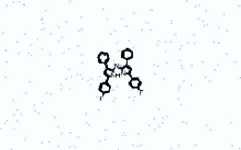 Fc1ccc(C2=N/C(=N\c3[nH]c(-c4ccc(F)cc4)cc3-c3ccccc3)C(c3ccccc3)=C2)cc1